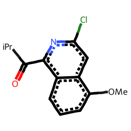 COc1cccc2c(C(=O)C(C)C)nc(Cl)cc12